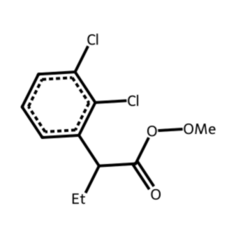 CCC(C(=O)OOC)c1cccc(Cl)c1Cl